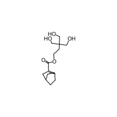 O=C(OCCC(CO)(CO)CO)C1=C2CCC(C2)C1